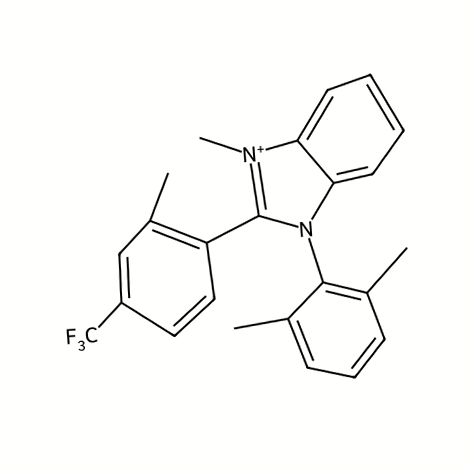 Cc1cc(C(F)(F)F)ccc1-c1n(-c2c(C)cccc2C)c2ccccc2[n+]1C